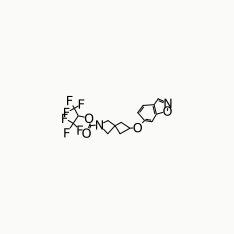 O=C(OC(C(F)(F)F)C(F)(F)F)N1CC2(CC(Oc3ccc4cnoc4c3)C2)C1